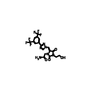 NC(=O)CN1C(=O)N(CCO)C(=O)/C1=C/n1cnc(-c2cc(C(F)(F)F)cc(C(F)(F)F)c2)n1